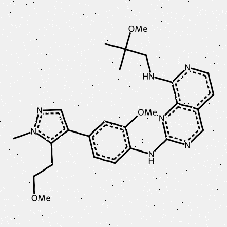 COCCc1c(-c2ccc(Nc3ncc4ccnc(NCC(C)(C)OC)c4n3)c(OC)c2)cnn1C